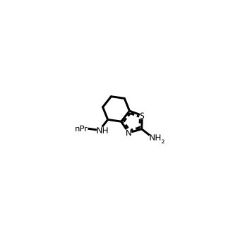 CCCNC1CCCc2sc(N)nc21